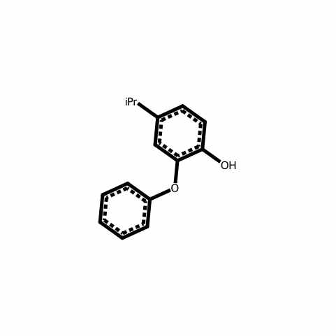 CC(C)c1ccc(O)c(Oc2ccccc2)c1